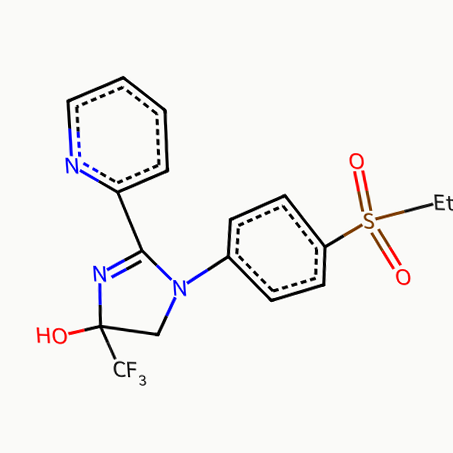 CCS(=O)(=O)c1ccc(N2CC(O)(C(F)(F)F)N=C2c2ccccn2)cc1